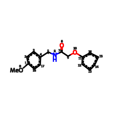 COc1ccc([CH]NC(=O)COc2ccccc2)cc1